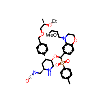 CCO[C@H](C)COCc1ccc([C@H]2C[C@H](CN=C=O)NC[C@@H]2OC(c2ccc3c(c2)N(CCCOC)CCO3)S(=O)(=O)c2ccc(C)cc2)cc1